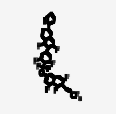 Fc1cc2cc(OC(F)(F)c3c(F)cc(-c4c(F)cc5cc(-c6ccccn6)ccc5c4F)cc3F)cc(F)c2c(F)c1C#CC(F)(F)F